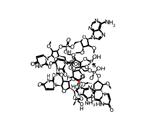 COC1[C@@H](OP(=O)(O)OC[C@H]2O[C@@H](n3ccc(=O)[nH]c3=O)C(OC)[C@H]2OP(=O)(O)OC[C@H]2O[C@@H](n3ccc(=O)[nH]c3=O)C(OC)[C@H]2OP(O)(=S)OC[C@H]2O[C@@H](n3cnc4c(N)ncnc43)C(F)[C@H]2OP(O)(=S)OC[C@H]2O[C@@H](n3ccc(=O)[nH]c3=O)C(OC)[C@H]2OP(=O)(O)OC[C@H]2O[C@@H](n3cnc4c(N)ncnc43)C(OC)[C@H]2OC)[C@@H](COP(C)(=O)O)O[C@H]1n1ccc(=O)[nH]c1=O